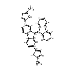 Cc1ccc(-c2ccc3c(c2)C(=C2c4ccccc4-c4ccccc42)c2cc(-c4ccc(C)s4)ccc2-3)s1